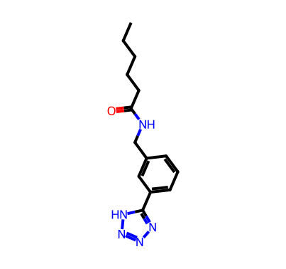 CCCCCC(=O)NCc1cccc(-c2nnn[nH]2)c1